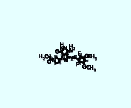 C=CC(=O)N1CCC(n2nc(C#Cc3c(F)c(OC)cc(OC)c3F)c3c(N)n[nH]c(=O)c32)C1